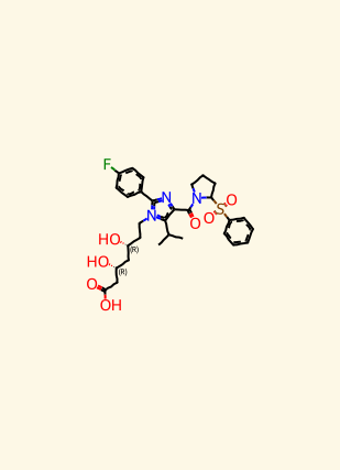 CC(C)c1c(C(=O)N2CCCC2S(=O)(=O)c2ccccc2)nc(-c2ccc(F)cc2)n1CC[C@@H](O)C[C@@H](O)CC(=O)O